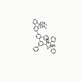 CC1(C)c2ccccc2-c2ccc(-c3ccc(-c4cc(-c5ccccc5)cc(C5NC(c6ccccc6)N[C@@]6(c7ccccc7)CC56)c4)c(-c4ccccc4)c3)cc21